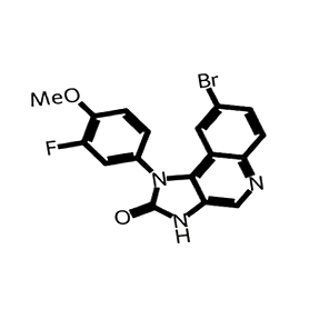 COc1ccc(-n2c(=O)[nH]c3cnc4ccc(Br)cc4c32)cc1F